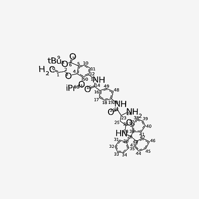 C=CCOc1c(C(=O)OC(C)(C)C)ccc(NC(=O)c2ccc(NC(=O)C(N)CC(=O)NC(c3ccccc3)(c3ccccc3)c3ccccc3)cc2)c1OC(C)C